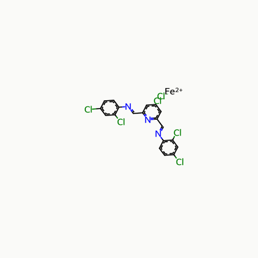 Clc1ccc(N=Cc2cccc(C=Nc3ccc(Cl)cc3Cl)n2)c(Cl)c1.[Cl-].[Cl-].[Fe+2]